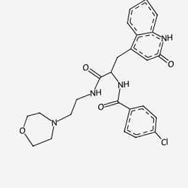 O=C(NC(Cc1cc(=O)[nH]c2ccccc12)C(=O)NCCN1CCOCC1)c1ccc(Cl)cc1